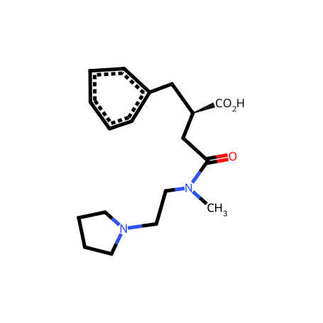 CN(CCN1CCCC1)C(=O)C[C@@H](Cc1ccccc1)C(=O)O